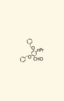 CCCc1cc(C=O)c(OCc2ccccc2)cc1OCc1ccccc1